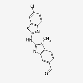 Cn1c(Nc2nc3ccc(Cl)cc3s2)nc2cc(C=O)ccc21